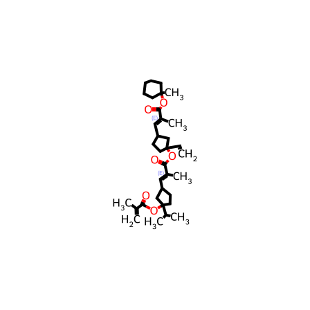 C=CC1(OC(=O)/C(C)=C/C2CCC(OC(=O)C(=C)C)(C(C)C)C2)CCC(/C=C(\C)C(=O)OC2(C)CCCCC2)C1